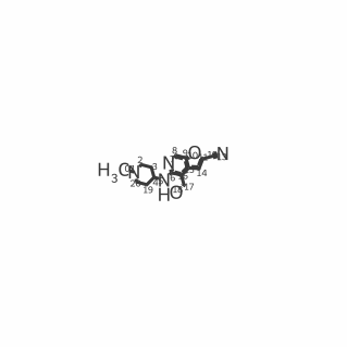 CN1CCC(Nc2ncc3oc(C#N)cc3c2C=O)CC1